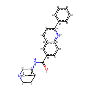 O=C(NC1CN2CCC1CC2)c1ccc2nc(-c3ccccc3)ccc2c1